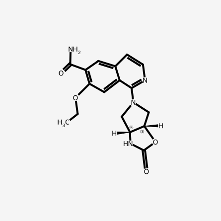 CCOc1cc2c(N3C[C@@H]4OC(=O)N[C@@H]4C3)nccc2cc1C(N)=O